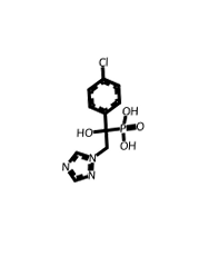 O=P(O)(O)C(O)(Cn1cncn1)c1ccc(Cl)cc1